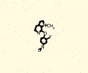 Cn1ccc2ccnc(Oc3ccc(N=O)cc3F)c21